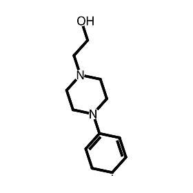 OCCN1CCN(C2=CC[CH]C=C2)CC1